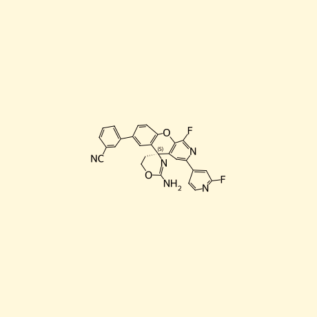 N#Cc1cccc(-c2ccc3c(c2)[C@@]2(CCOC(N)=N2)c2cc(-c4ccnc(F)c4)nc(F)c2O3)c1